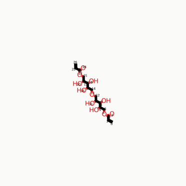 C=CC(=O)OCC(O)C(O)C(O)COCC(O)C(O)C(O)COC(=O)C=C